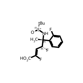 CC(C)(C)[S@@+]([O-])N[C@](C)(c1ccccc1F)[C@H](F)C=C(F)C(=O)O